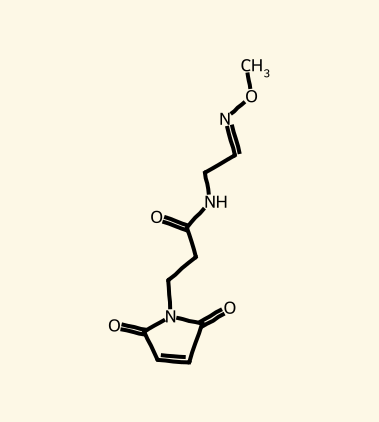 CO/N=C/CNC(=O)CCN1C(=O)C=CC1=O